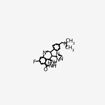 CN(C)Cc1ccc(C2C=Nc3cc(F)cc4c(=O)[nH]nc(c34)C2c2ncnn2C)cc1